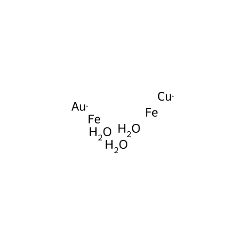 O.O.O.[Au].[Cu].[Fe].[Fe]